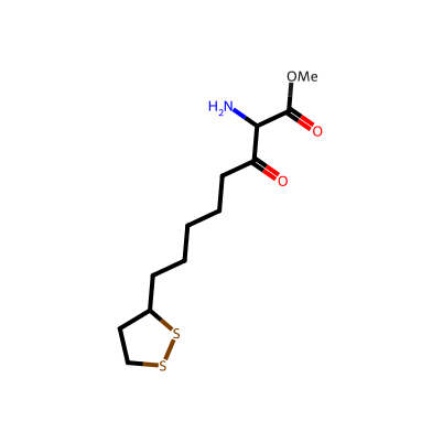 COC(=O)C(N)C(=O)CCCCCC1CCSS1